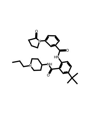 CCCN1CCC(NC(=O)c2cc(C(C)(C)C)ccc2NC(=O)c2cccc(N3CCCC3=O)c2)CC1